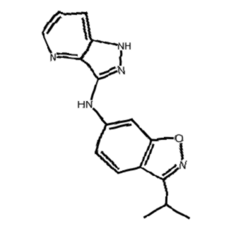 CC(C)c1noc2cc(Nc3n[nH]c4cccnc34)ccc12